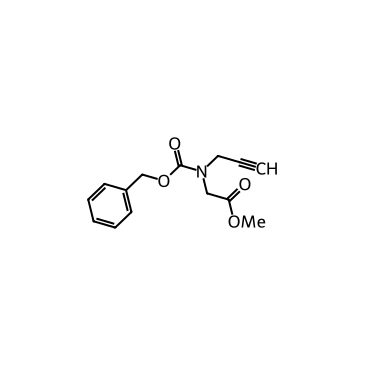 C#CCN(CC(=O)OC)C(=O)OCc1ccccc1